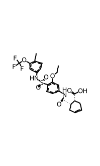 CCOc1cc(NC(=O)[C@H]2CC=CC[C@H]2C(=O)O)ccc1S(=O)(=O)Nc1ccc(C)c(OC(F)(F)F)c1